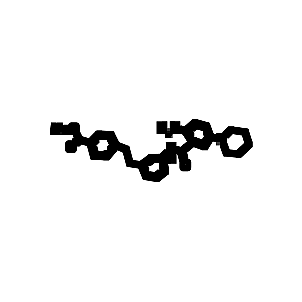 COC(=O)c1ccc(CCc2cccc(NC(=O)c3cc(N4CCCCC4)ccc3N)c2)cc1